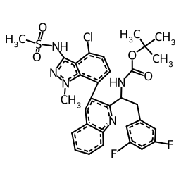 Cn1nc(NS(C)(=O)=O)c2c(Cl)ccc(-c3cc4ccccc4nc3C(Cc3cc(F)cc(F)c3)NC(=O)OC(C)(C)C)c21